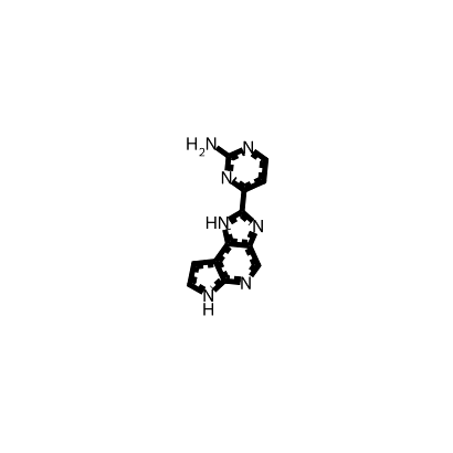 Nc1nccc(-c2nc3cnc4[nH]ccc4c3[nH]2)n1